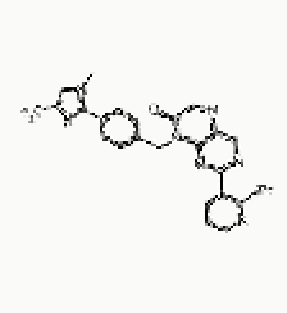 CC(C)c1ncccc1-c1ncc2ncc(=O)n(Cc3ccc(-c4nc(C(F)(F)F)cn4C)cc3)c2n1